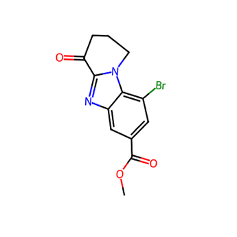 COC(=O)c1cc(Br)c2c(c1)nc1n2CCCC1=O